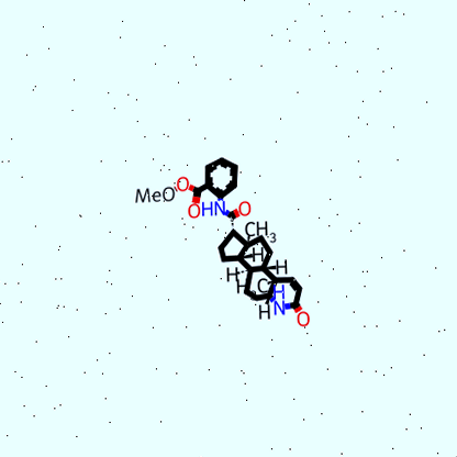 COOC(=O)c1ccccc1NC(=O)[C@H]1CC[C@H]2[C@@H]3CC[C@H]4NC(=O)C=C[C@]4(C)[C@H]3CC[C@]12C